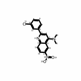 CN(C)c1cc(-c2cccc(Cl)c2)nc2ccc([N+](=O)[O-])cc12